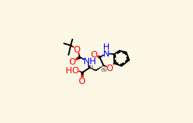 CC(C)(C)OC(=O)N[C@@H](C[C@@H]1Oc2ccccc2NC1=O)C(=O)O